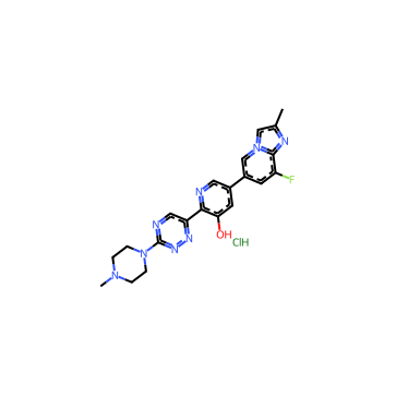 Cc1cn2cc(-c3cnc(-c4cnc(N5CCN(C)CC5)nn4)c(O)c3)cc(F)c2n1.Cl